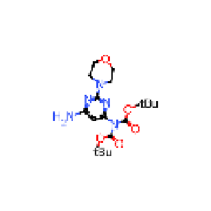 CC(C)(C)OC(=O)N(C(=O)OC(C)(C)C)c1cc(N)nc(N2CCOCC2)n1